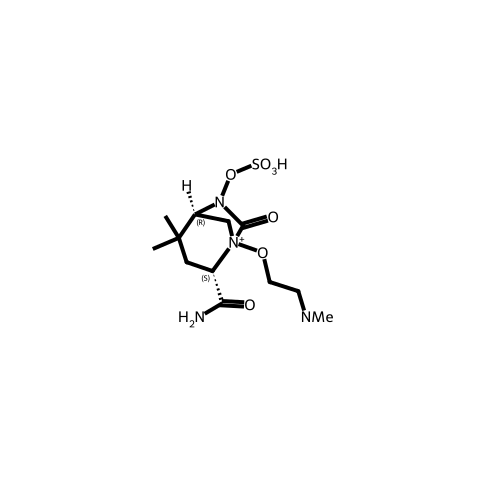 CNCCO[N+]12C[C@H](N(OS(=O)(=O)O)C1=O)C(C)(C)C[C@H]2C(N)=O